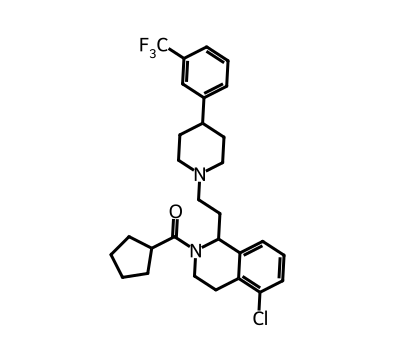 O=C(C1CCCC1)N1CCc2c(Cl)cccc2C1CCN1CCC(c2cccc(C(F)(F)F)c2)CC1